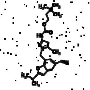 Cc1cc(NC(=O)OCC[Si](C)(C)C)nn1Cc1cc(C#N)cc2cc(C(C)C)oc12